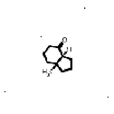 CC12CCCC(=O)[C@@H]1CCC2